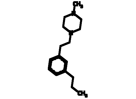 CCCc1cccc(CCN2CCN(C)CC2)c1